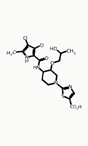 Cc1[nH]c(C(=O)NC2CCN(c3ncc(C(=O)O)s3)CC2OCC(C)O)c(Cl)c1Cl